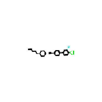 C=CCCC[C@H]1CC[C@H](C#Cc2ccc(-c3ccc(Cl)c(F)c3)cc2)CC1